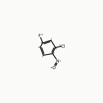 O=Nc1ccc(F)cc1Cl